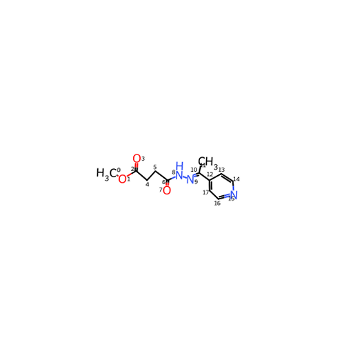 COC(=O)CCC(=O)NN=C(C)c1ccncc1